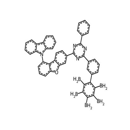 Bc1c(B)c(B)c(-c2cccc(-c3nc(-c4ccccc4)nc(-c4ccc5c(c4)oc4cccc(-n6c7ccccc7c7ccccc76)c45)n3)c2)c(B)c1B